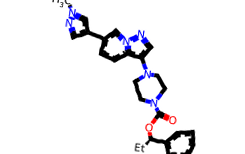 CC[C@@H](OC(=O)N1CCN(c2cnn3cc(-c4cnn(C)c4)ccc23)CC1)c1ccccc1